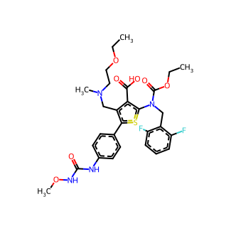 CCOCCN(C)Cc1c(-c2ccc(NC(=O)NOC)cc2)sc(N(Cc2c(F)cccc2F)C(=O)OCC)c1C(=O)O